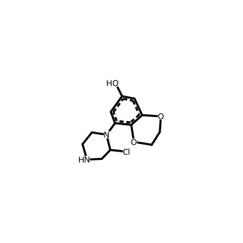 Oc1cc2c(c(N3CCNCC3Cl)c1)OCCO2